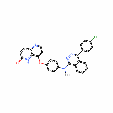 CN(c1ccc(Oc2ccnc3ccc(=O)[nH]c23)cc1)c1nnc(-c2ccc(Cl)cc2)c2ccccc12